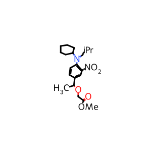 COC(=O)COC(C)c1ccc(N(CC(C)C)C2CCCCC2)c([N+](=O)[O-])c1